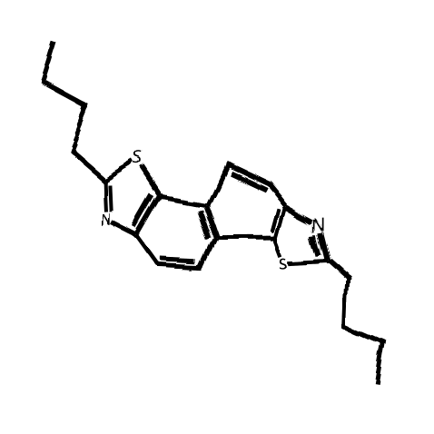 CCCCc1nc2ccc3c(ccc4nc(CCCC)sc43)c2s1